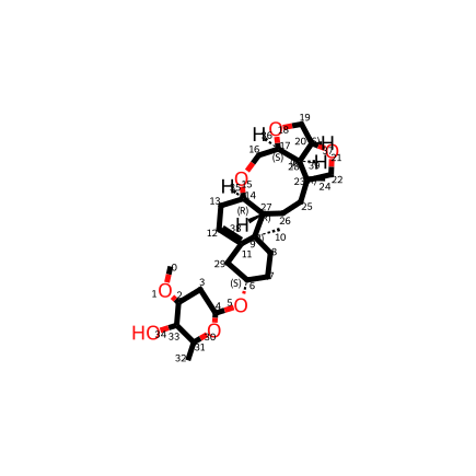 COC1CC(O[C@H]2CC[C@@]3(C)C(=CC[C@H]4OC[C@H]5OC[C@H]6OC[C@](C)(CC[C@@H]43)[C@H]65)C2)OC(C)C1O